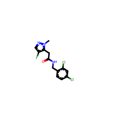 Cn1ncc(F)c1CC(=O)NCc1ccc(Cl)cc1Cl